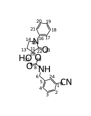 N#Cc1cccc(CNC(=O)O[C@@]2(O)CCN(c3ccccc3)C2=O)c1